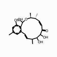 Cc1cc(O)c2c(c1)/C=C/C(C)C(O)C(O)C(=O)/C=C\[C@@H](C)[C@H](C)OC2O